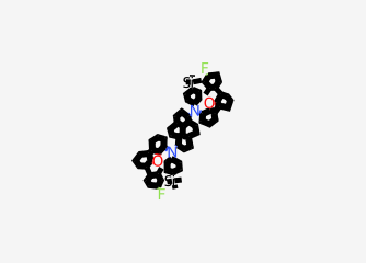 Cc1cc(F)ccc1-c1cccc2c1oc1c(N(c3ccc([Si](C)(C)C)cc3)c3ccc4ccc5c(N(c6ccc([Si](C)(C)C)cc6)c6cccc7c6oc6c(-c8ccc(F)cc8C)cccc67)ccc6ccc3c4c65)cccc12